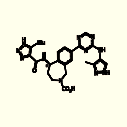 Cc1n[nH]cc1Nc1ncnc(-c2ccc3c(c2)CN(C(=O)O)CC[C@H]3NC(=O)c2nn[nH]c2C(C)(C)C)n1